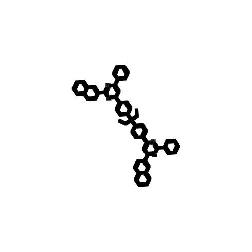 CCC(CC)(c1ccc(-c2cc(-c3ccc4ccccc4c3)nc(-c3ccccc3)n2)cc1)c1ccc(-c2cc(-c3ccccc3)nc(-c3ccc4ccccc4c3)n2)cc1